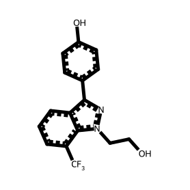 OCCn1nc(-c2ccc(O)cc2)c2cccc(C(F)(F)F)c21